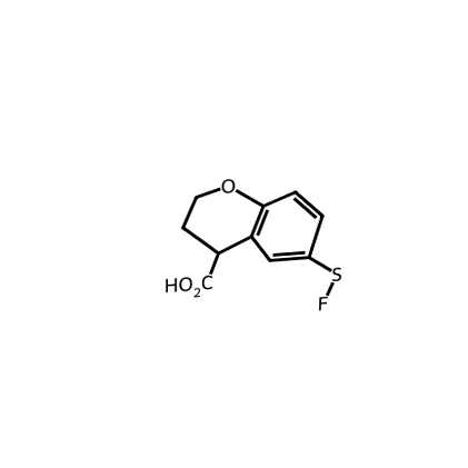 O=C(O)C1CCOc2ccc(SF)cc21